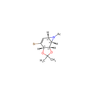 CC(=O)N1[C@@H]2[C@@H]3OC(C)(C)O[C@@H]3C(Br)=C[C@@H]21